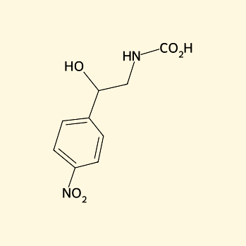 O=C(O)NCC(O)c1ccc([N+](=O)[O-])cc1